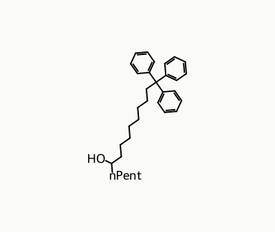 CCCCCC(O)CCCCCCCCC(c1ccccc1)(c1ccccc1)c1ccccc1